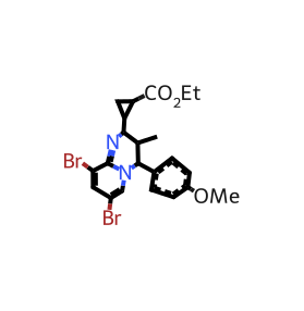 CCOC(=O)C1CC1C1N=C2C(Br)=CC(Br)=CN2C(c2ccc(OC)cc2)C1C